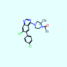 CCC(=O)N1CCN(c2ncnc3cc(Cl)c(-c4ccc(Cl)cc4)cc23)C[C@H]1C#N